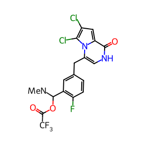 CNC(OC(=O)C(F)(F)F)c1cc(Cc2c[nH]c(=O)c3cc(Cl)c(Cl)n23)ccc1F